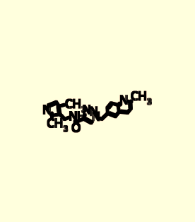 Cc1ccc2cc(Cn3cc(C(=O)NCc4c(C)ccnc4C)nn3)ccc2n1